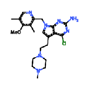 COc1c(C)cnc(Cn2cc(CCN3CCN(C)CC3)c3c(Cl)nc(N)nc32)c1C